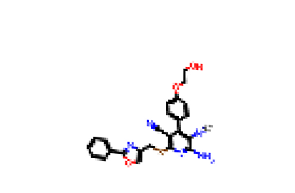 [C-]#[N+]c1c(N)nc(SCc2coc(-c3ccccc3)n2)c(C#N)c1-c1ccc(OCCO)cc1